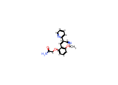 COc1cccc(OCC(N)=O)c1C=C(C#N)c1ccccn1